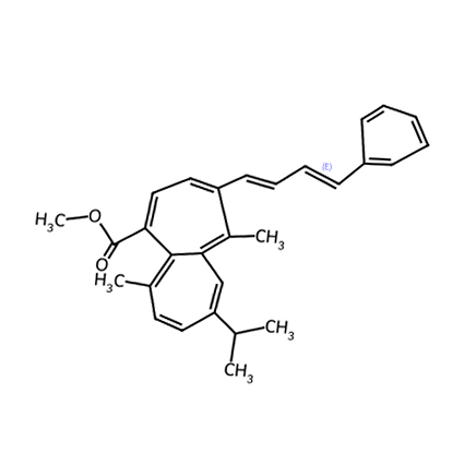 COC(=O)C1=CC=C(C=C/C=C/c2ccccc2)C(C)=C2C=C(C(C)C)C=CC(C)=C12